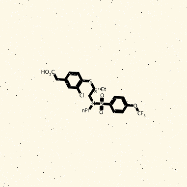 CCCN(C[C@@H](CC)Sc1ccc(CC(=O)O)cc1Cl)S(=O)(=O)c1ccc(OC(F)(F)F)cc1